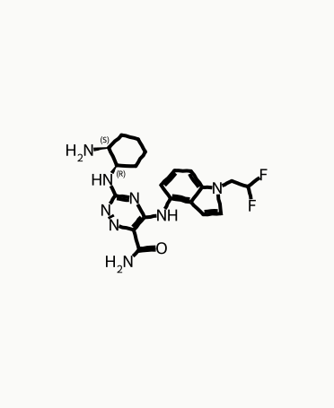 NC(=O)c1nnc(N[C@@H]2CCCC[C@@H]2N)nc1Nc1cccc2c1ccn2CC(F)F